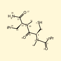 CCCC(=O)N(C)[C@H](CS)C(=O)N(C)[C@@H](CC(C)C)C(N)=O